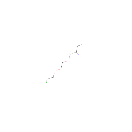 NC(CO)COCCOCCCl